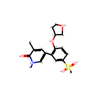 Cc1cc(-c2cc(S(C)(=O)=O)ccc2OC2CCOC2)cn(C)c1=O